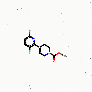 CC(C)(C)OC(=O)N1CC=C(c2nc(Br)ccc2F)CC1